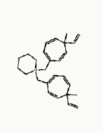 C=CC1(C)C=CC=C(C[N+]2(CC3=CC=CC(C)(C=C)C=C3)CCCCC2)C=C1